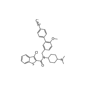 [C-]#[N+]c1ccc(-c2cc(CN(C(=O)c3sc4ccccc4c3Cl)C3CCC(N(C)C)CC3)ccc2OC)cc1